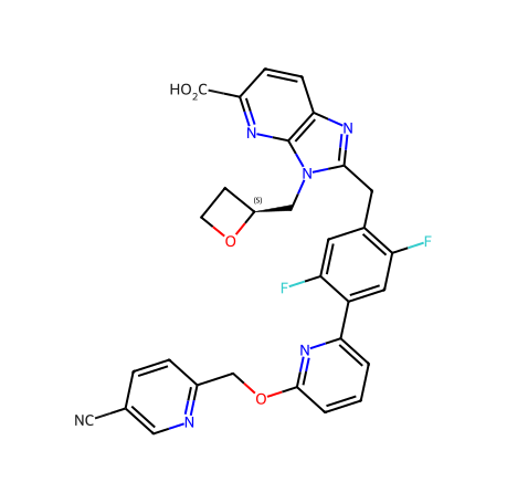 N#Cc1ccc(COc2cccc(-c3cc(F)c(Cc4nc5ccc(C(=O)O)nc5n4C[C@@H]4CCO4)cc3F)n2)nc1